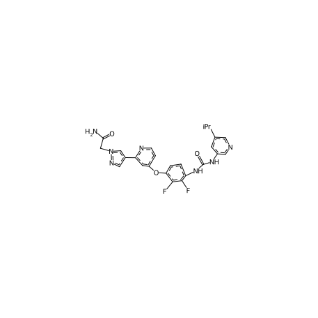 CC(C)c1cncc(NC(=O)Nc2ccc(Oc3ccnc(-c4cnn(CC(N)=O)c4)c3)c(F)c2F)c1